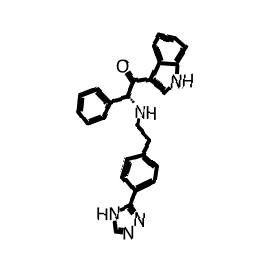 O=C(c1c[nH]c2ccccc12)[C@H](NCCc1ccc(-c2nnc[nH]2)cc1)c1ccccc1